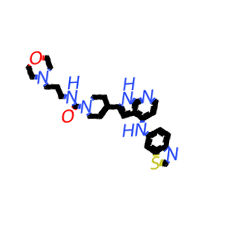 O=C(NCCCN1CCOCC1)N1CC=C(c2cc3c(Nc4ccc5ncsc5c4)ccnc3[nH]2)CC1